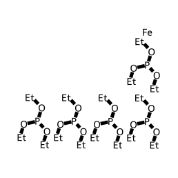 CCOP(OCC)OCC.CCOP(OCC)OCC.CCOP(OCC)OCC.CCOP(OCC)OCC.CCOP(OCC)OCC.[Fe]